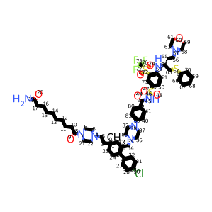 CC1(CCN2CCN(C(=O)CCCCCCCCC(N)=O)CC2)CCC(c2ccc(Cl)cc2)=C(CN2CCN(c3ccc(C(=O)NS(=O)(=O)c4ccc(N[C@H](CCN5CCOCC5)CSc5ccccc5)c(S(=O)(=O)C(F)(F)F)c4)cc3)CC2)C1